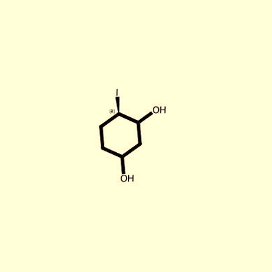 OC1CC[C@@H](I)C(O)C1